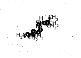 C=C1CCC(c2nn(C)c3c(N4CCCC5(CCCN(c6ncc(Cl)c(Nc7ccc8c(c7)C=C(CCC)C(=C)N8C)n6)C5)C4)cccc23)C(=C)N1